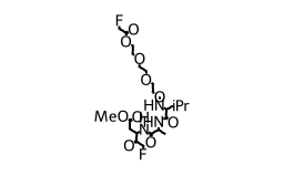 COC(=O)CC(NC(=O)C(C)NC(=O)C(NOCCOCCOCCOC(=O)CF)C(C)C)C(=O)CF